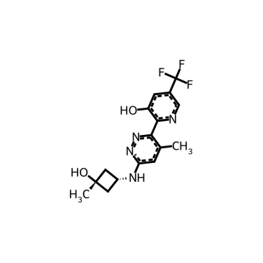 Cc1cc(N[C@H]2C[C@@](C)(O)C2)nnc1-c1ncc(C(F)(F)F)cc1O